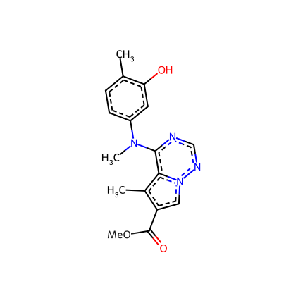 COC(=O)c1cn2ncnc(N(C)c3ccc(C)c(O)c3)c2c1C